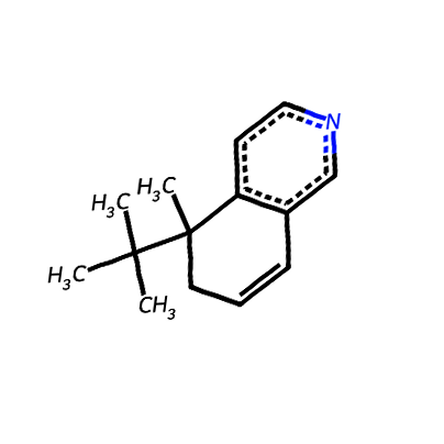 CC(C)(C)C1(C)CC=Cc2cnccc21